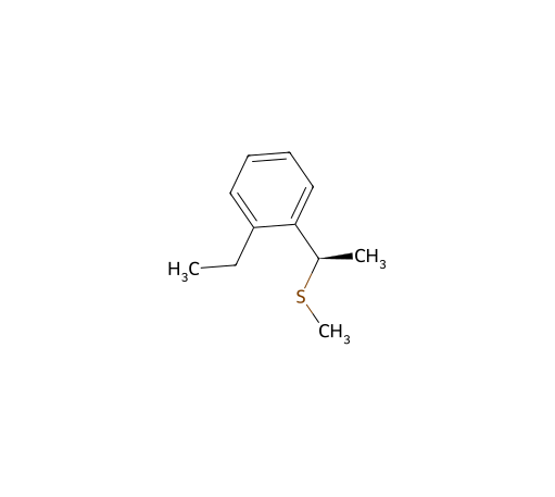 CCc1ccccc1[C@@H](C)SC